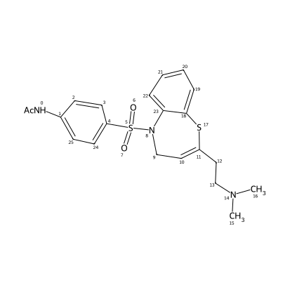 CC(=O)Nc1ccc(S(=O)(=O)N2CC=C(CCN(C)C)Sc3ccccc32)cc1